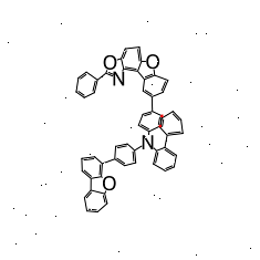 c1ccc(-c2nc3c(ccc4oc5ccc(-c6ccc(N(c7ccc(-c8cccc9c8oc8ccccc89)cc7)c7ccccc7-c7ccccc7)cc6)cc5c43)o2)cc1